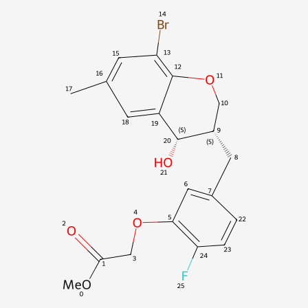 COC(=O)COc1cc(C[C@H]2COc3c(Br)cc(C)cc3[C@H]2O)ccc1F